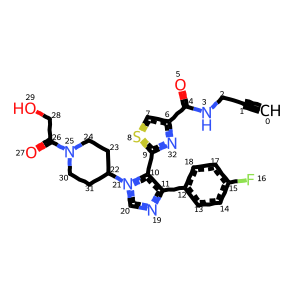 C#CCNC(=O)c1csc(-c2c(-c3ccc(F)cc3)ncn2C2CCN(C(=O)CO)CC2)n1